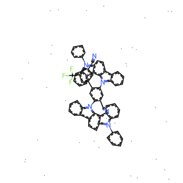 N#Cc1cc(-c2cc(-n3c4ccccc4c4ccc5c(c6ccccc6n5-c5ccccc5)c43)c(C#N)cc2-n2c3ccccc3c3ccc4c(c5ccccc5n4-c4ccccc4)c32)cc(C(F)(F)F)c1